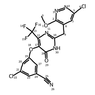 COc1nnc(Cl)cc1Cc1nc(C(F)(F)F)c(Oc2cc(Cl)cc(C#N)c2)c(=O)[nH]1